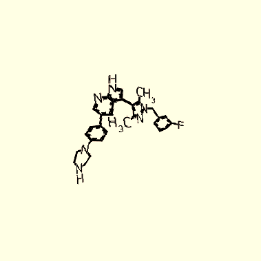 Cc1nn(Cc2cccc(F)c2)c(C)c1-c1c[nH]c2ncc(-c3ccc(N4CCNCC4)cc3)cc12